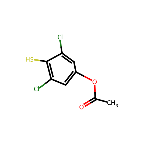 CC(=O)Oc1cc(Cl)c(S)c(Cl)c1